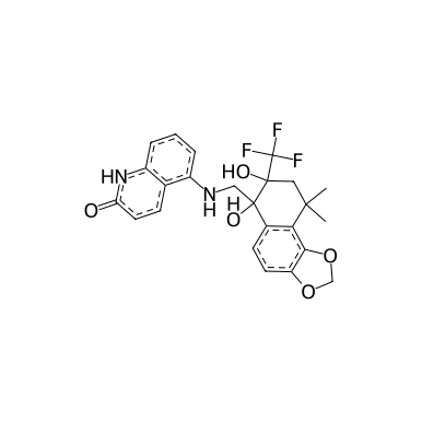 CC1(C)CC(O)(C(F)(F)F)C(O)(CNc2cccc3[nH]c(=O)ccc23)c2ccc3c(c21)OCO3